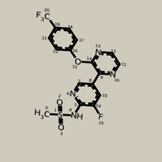 CS(=O)(=O)Nc1ncc(-c2nccnc2Oc2ccc(C(F)(F)F)cc2)cc1F